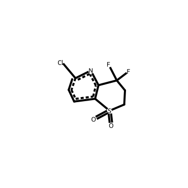 O=S1(=O)CCC(F)(F)c2nc(Cl)ccc21